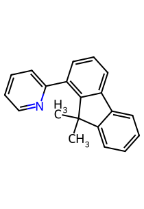 CC1(C)c2ccccc2-c2cccc(-c3ccccn3)c21